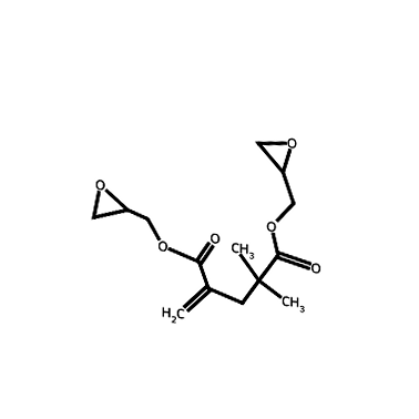 C=C(CC(C)(C)C(=O)OCC1CO1)C(=O)OCC1CO1